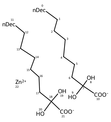 CCCCCCCCCCCCCCCCC(O)(O)C(=O)[O-].CCCCCCCCCCCCCCCCC(O)(O)C(=O)[O-].[Zn+2]